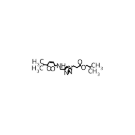 CC(C)COC(=O)CCn1cc(CNC(=O)/C=C\C(=O)C(C)C)nn1